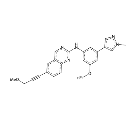 CCCOc1cc(Nc2ncc3cc(C#CCOC)ccc3n2)cc(-c2cnn(C)c2)c1